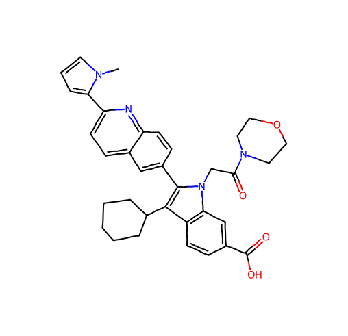 Cn1cccc1-c1ccc2cc(-c3c(C4CCCCC4)c4ccc(C(=O)O)cc4n3CC(=O)N3CCOCC3)ccc2n1